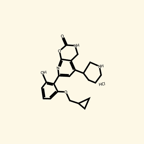 Cl.O=C1NCc2c(C3CCCNC3)cc(-c3c(O)cccc3OCC3CC3)nc2O1